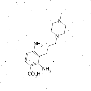 CN1CCN(CCCc2c(N)ccc(C(=O)O)c2N)CC1